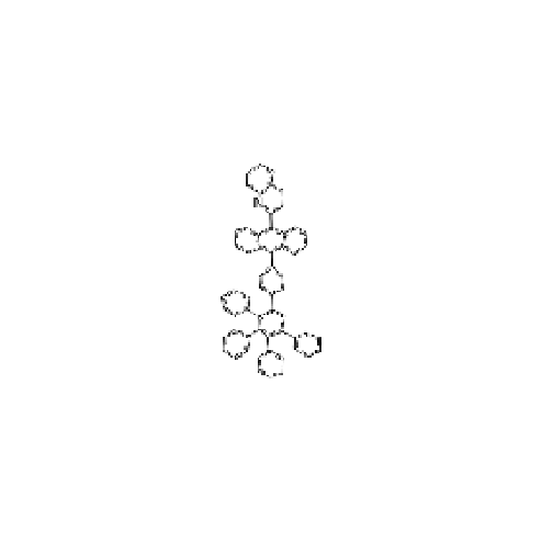 c1ccc(-c2cc(-c3ccc(-c4c5ccccc5c(-c5ccc6ccccc6n5)c5ccccc45)cc3)c(-c3ccccc3)c(-c3ccccc3)c2-c2ccccc2)cc1